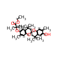 CCOC(=O)C(C)(C)Oc1cc2c(cc1C)O[C@@]1(CC(C)(C)c3cc(O)c(C)cc3O1)CC2(C)C